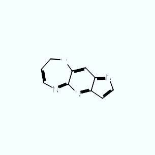 C1=CN=c2nc3c(cc2OC1)=NC=C3